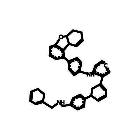 C1=CCCC(CNCc2ccc(C3C=CC=C(c4ccccc4Nc4ccc(-c5cccc6c5C5C=CCCC5O6)cc4)C3)cc2)=C1